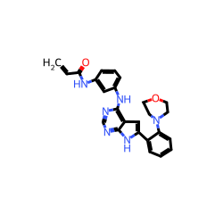 C=CC(=O)Nc1cccc(Nc2ncnc3[nH]c(-c4ccccc4N4CCOCC4)cc23)c1